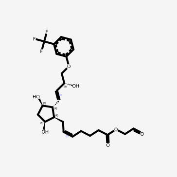 O=CCOC(=O)CCC/C=C\C[C@@H]1[C@@H](/C=C/[C@@H](O)COc2cccc(C(F)(F)F)c2)[C@H](O)C[C@@H]1O